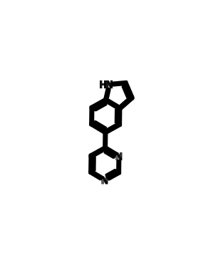 c1cc(-c2ccc3[nH]ccc3c2)ncn1